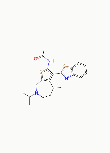 CC(=O)Nc1sc2c(c1-c1nc3ccccc3s1)C(C)CCN(C(C)C)C2